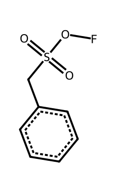 O=S(=O)(Cc1ccccc1)OF